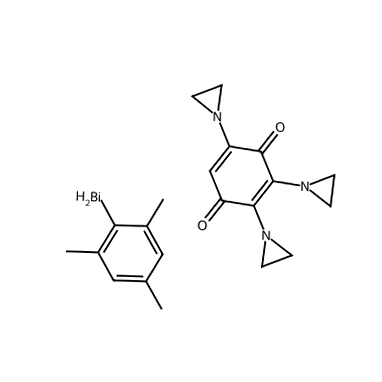 Cc1cc(C)[c]([BiH2])c(C)c1.O=C1C=C(N2CC2)C(=O)C(N2CC2)=C1N1CC1